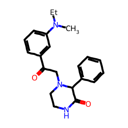 CCN(C)c1cccc(C(=O)CN2CCNC(=O)C2c2ccccc2)c1